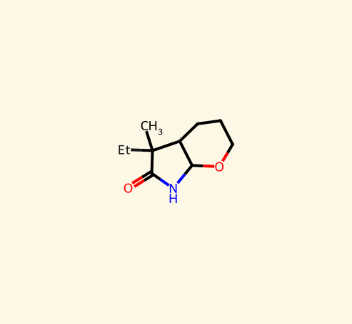 CCC1(C)C(=O)NC2OCCCC21